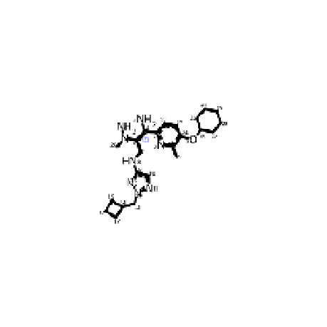 Cc1nc(/C(N)=C(\CNc2cnn(CC3CCC3)n2)N(C)N)ccc1OC1CCCCC1